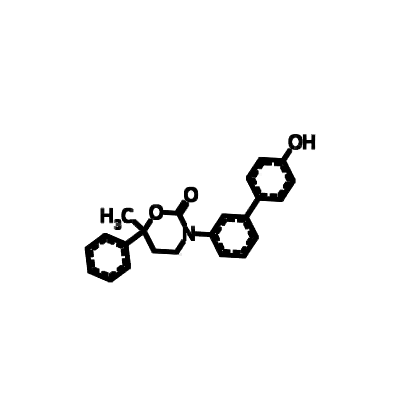 CC1(c2ccccc2)CCN(c2cccc(-c3ccc(O)cc3)c2)C(=O)O1